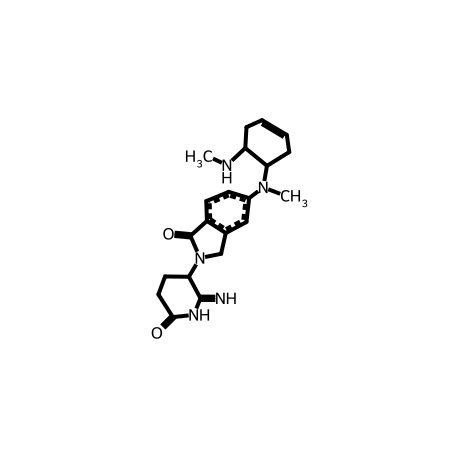 CNC1CC=CCC1N(C)c1ccc2c(c1)CN(C1CCC(=O)NC1=N)C2=O